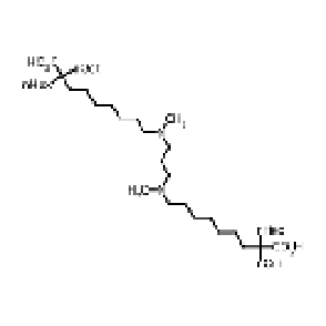 CCCCCCCCC(CCCCCC)(CCCCCCCN(C)CCCN(C)CCCCCCCC(CCCCCC)(CCCCCCCC)C(=O)O)C(=O)O